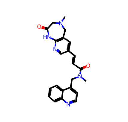 CN1CC(=O)Nc2ncc(C=CC(=O)N(C)Cc3ccnc4ccccc34)cc2C1